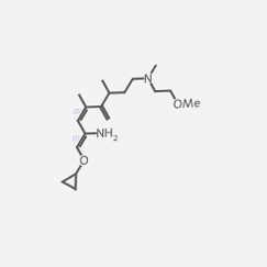 C=C(/C(C)=C\C(N)=C\OC1CC1)C(C)CCN(C)CCOC